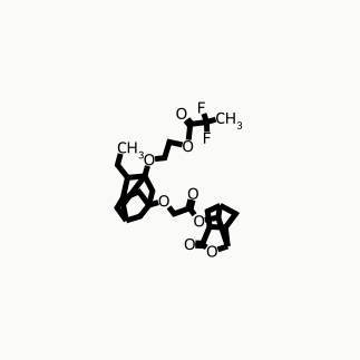 CCC1C2CC3CC(OCC(=O)OC4C5CC6C(=O)OC4C6C5)(C2)CC1(OCCOC(=O)C(C)(F)F)C3